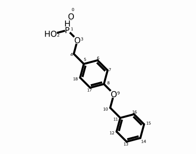 O=[PH](O)OCc1ccc(OCc2ccccc2)cc1